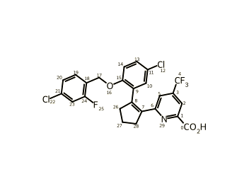 O=C(O)c1cc(C(F)(F)F)cc(C2=C(c3cc(Cl)ccc3OCc3ccc(Cl)cc3F)CCC2)n1